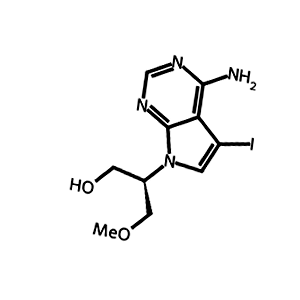 COC[C@@H](CO)n1cc(I)c2c(N)ncnc21